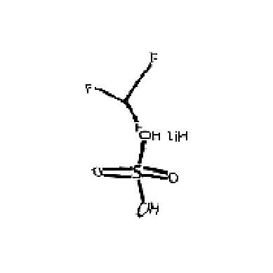 FC(F)F.O=S(=O)(O)O.[LiH]